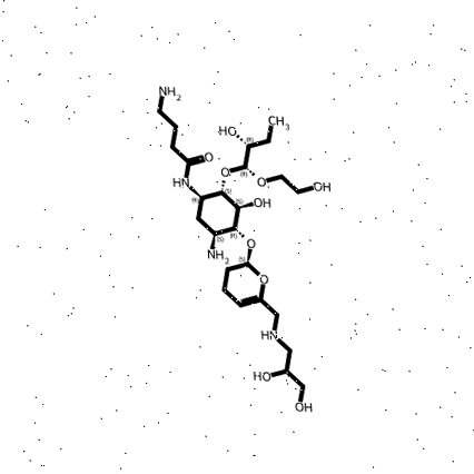 CC[C@@H](O)[C@H](OCCO)O[C@@H]1[C@@H](O)[C@H](O[C@@H]2CCC=C(CNCC(O)CO)O2)[C@@H](N)C[C@H]1NC(=O)CCCN